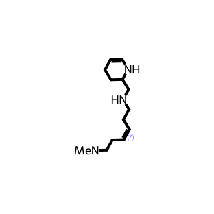 CNCC/C=C\CCNCC1CCC=CN1